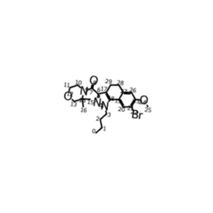 CCCCn1nc(C(=O)N2CCOCC2(C)C)c2c1-c1cc(Br)c(OC)cc1CC2